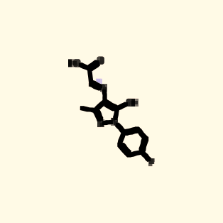 Cc1nn(-c2ccc(F)cc2)c(O)c1/N=C/C(=O)O